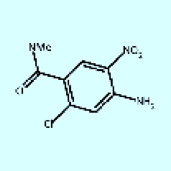 CNC(=O)c1cc([N+](=O)[O-])c(N)cc1Cl